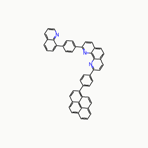 c1cnc2c(-c3ccc(-c4ccc5ccc6ccc(-c7ccc(-c8ccc9ccc%10cccc%11ccc8c9c%10%11)cc7)nc6c5n4)cc3)cccc2c1